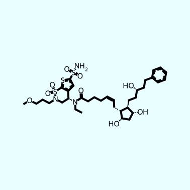 CCN(C(=O)CCC/C=C\C[C@@H]1[C@@H](CC[C@H](O)CCc2ccccc2)[C@H](O)C[C@@H]1O)[C@@H]1CN(CCCOC)S(=O)(=O)c2sc(S(N)(=O)=O)cc21